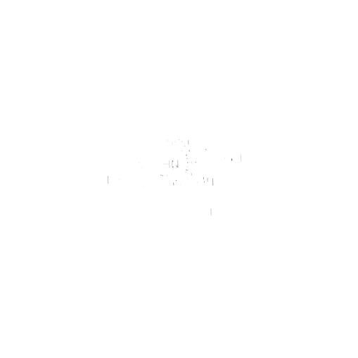 CCCCCc1cc(O)c(C2C=C(C)CCC2)c(O)c1S(=O)(=O)NC(=O)c1ccc(C(F)(F)F)cc1